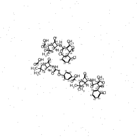 CC1(C)S[C@@H]2[C@H](NC(=O)COc3ccccc3)C(=O)N2[C@H]1C(=O)O.Cc1onc(-c2c(Cl)cccc2Cl)c1C(=O)N[C@@H]1C(=O)N2[C@@H]1SC(C)(C)[C@@H]2C(=O)O.Cc1onc(-c2ccccc2Cl)c1C(=O)N[C@@H]1C(=O)N2[C@@H]1SC(C)(C)[C@@H]2C(=O)O